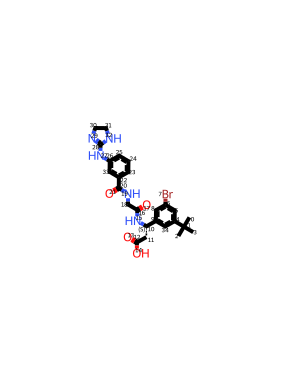 CC(C)(C)c1cc(Br)cc([C@H](CC(=O)O)NC(=O)CNC(=O)c2cccc(NC3=NCCN3)c2)c1